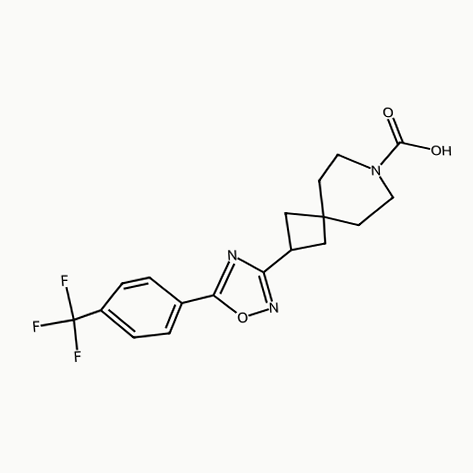 O=C(O)N1CCC2(CC1)CC(c1noc(-c3ccc(C(F)(F)F)cc3)n1)C2